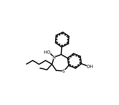 CCCCC1(CC)CSc2cc(O)ccc2C(c2ccccc2)N1O